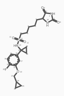 O=C1NC(=O)C(CCCCCS(=O)(=O)NC2(c3ccc(F)c(OCC4CC4)c3)CC2)N1